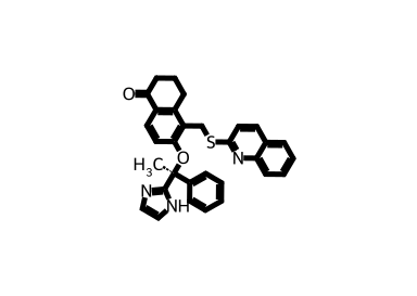 C[C@](Oc1ccc2c(c1CSc1ccc3ccccc3n1)CCCC2=O)(c1ccccc1)c1ncc[nH]1